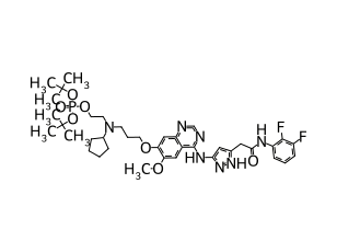 COc1cc2c(Nc3cc(CC(=O)Nc4cccc(F)c4F)[nH]n3)ncnc2cc1OCCCN(CCOP(=O)(OC(C)(C)C)OC(C)(C)C)C1CCCC1